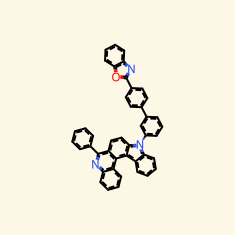 c1ccc(-c2nc3ccccc3c3c2ccc2c3c3ccccc3n2-c2cccc(-c3ccc(-c4nc5ccccc5o4)cc3)c2)cc1